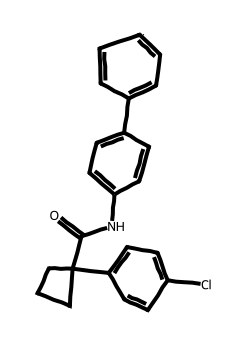 O=C(Nc1ccc(-c2cc[c]cc2)cc1)C1(c2ccc(Cl)cc2)CCC1